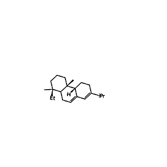 [CH2]C[C@@]1(C)CCC[C@@]2(C)C1CC=C1C=C(C(C)C)CC[C@H]12